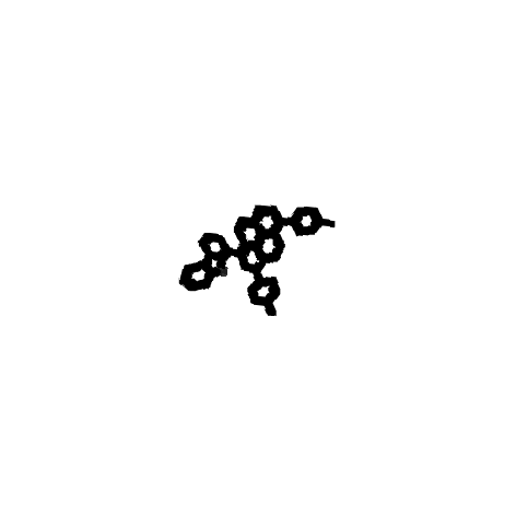 Cc1ccc(-c2ccc3ccc4c(-c5cccc6c5oc5ccccc56)cc(-c5ccc(C)cc5)c5ccc2c3c54)cc1